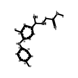 COC(=O)CNC(O)c1ccc(Oc2ccc(C)cc2)c(C)c1